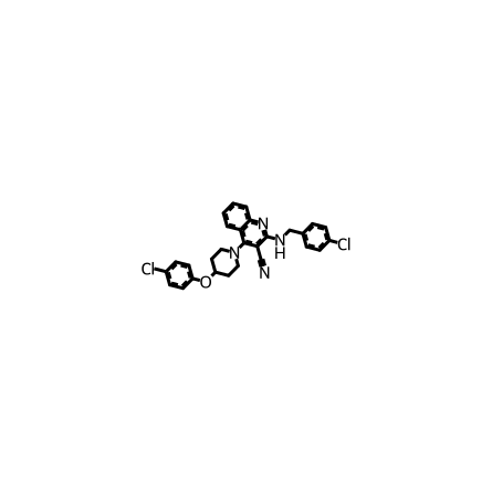 N#Cc1c(NCc2ccc(Cl)cc2)nc2ccccc2c1N1CCC(Oc2ccc(Cl)cc2)CC1